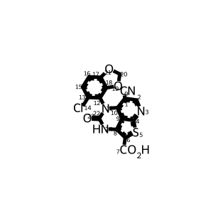 N#Cc1cnc2sc(C(=O)O)c3c2c1N(c1c(Cl)ccc2c1OCO2)C(=O)N3